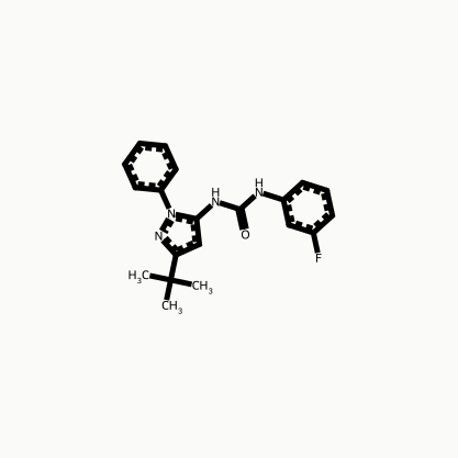 CC(C)(C)c1cc(NC(=O)Nc2cccc(F)c2)n(-c2ccccc2)n1